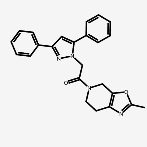 Cc1nc2c(o1)CN(C(=O)Cn1nc(-c3ccccc3)cc1-c1ccccc1)CC2